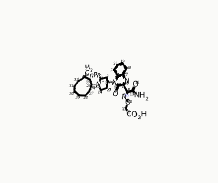 CCC[C@H]1C[C@@H](n2c(=O)c(/C(=N/OCC(=O)O)C(N)=O)nc3ccccc32)CCN1[C@@H]1CCCCCC[C@@H](C)C1